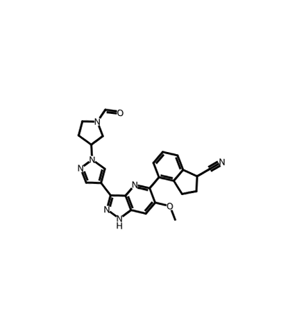 COc1cc2[nH]nc(-c3cnn(C4CCN(C=O)C4)c3)c2nc1-c1cccc2c1CCC2C#N